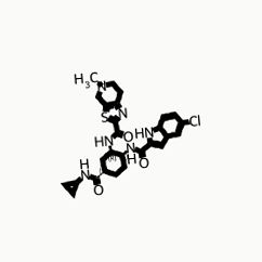 CN1CCc2nc(C(=O)N[C@@H]3C[C@@H](C(=O)NC4CC4)CC[C@@H]3NC(=O)C3=CC4C=C(Cl)C=CC4N3)sc2C1